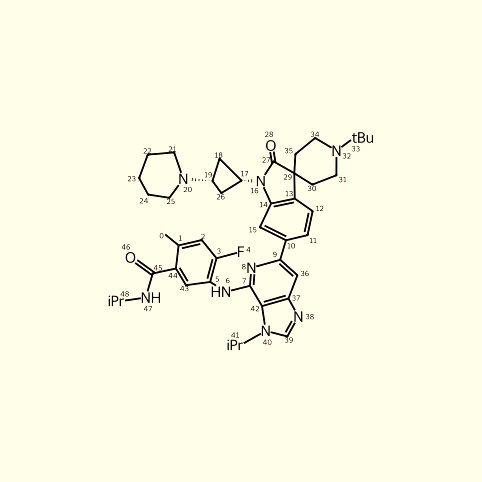 Cc1cc(F)c(Nc2nc(-c3ccc4c(c3)N([C@H]3C[C@@H](N5CCCCC5)C3)C(=O)C43CCN(C(C)(C)C)CC3)cc3ncn(C(C)C)c23)cc1C(=O)NC(C)C